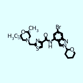 C[C@@H]1CN(Cc2nc(C(=O)Nc3cc(Br)cc4nn(C5CCCCO5)cc34)cs2)C[C@H](C)O1